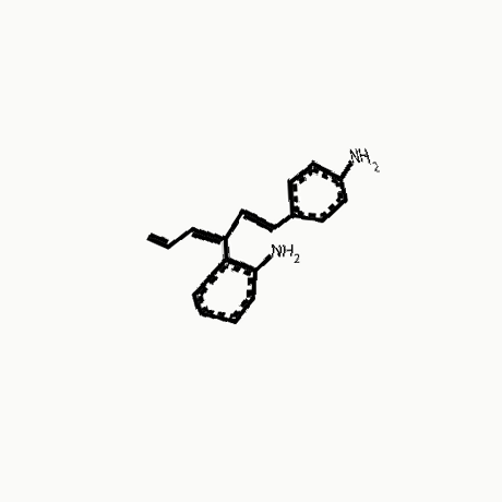 C=C/C=C(/C=Cc1ccc(N)cc1)c1ccccc1N